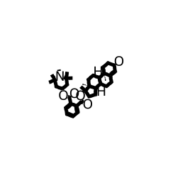 CN1C(C)(C)CC(OC(=O)c2ccccc2C(=O)OC2(C)CC[C@H]3C4CCC5=CC(=O)CC[C@]5(C)[C@H]4CC[C@@]32C)CC1(C)C